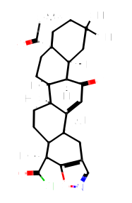 COC(=O)[C@]12CCC(C)(C)C[C@H]1[C@H]1C(=O)C=C3[C@@]4(C)Cc5cnoc5[C@@](C)(C(=O)Cl)C4CC[C@@]3(C)[C@]1(C)CC2